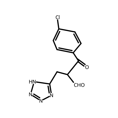 O=CC(Cc1nnn[nH]1)C(=O)c1ccc(Cl)cc1